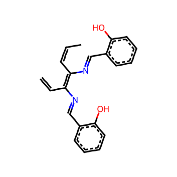 C=CC(/N=C/c1ccccc1O)=C(\C=C/C)/N=C/c1ccccc1O